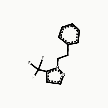 FC(F)(F)c1ccnn1CCc1ccccc1